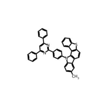 Cc1ccc2c(c1)c1ccc3sc4ccccc4c3c1n2-c1ccc(-c2nc(-c3ccccc3)cc(-c3ccccc3)n2)cc1